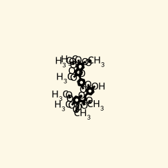 COOc1cc2oc(-c3ccc(O)c(Oc4cc(-c5oc6cc(OOC)c(OC)c(OOC)c6c(=O)c5OC)ccc4O)c3)c(OC)c(=O)c2c(OOC)c1OC